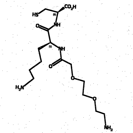 NCCCC[C@H](NC(=O)COCCOCCN)C(=O)N[C@@H](CS)C(=O)O